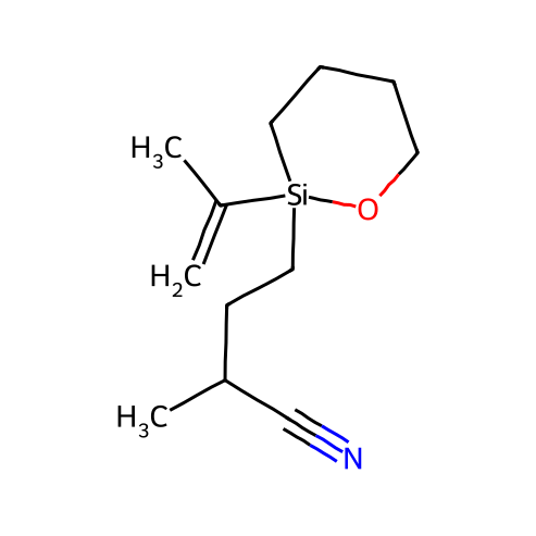 C=C(C)[Si]1(CCC(C)C#N)CCCCO1